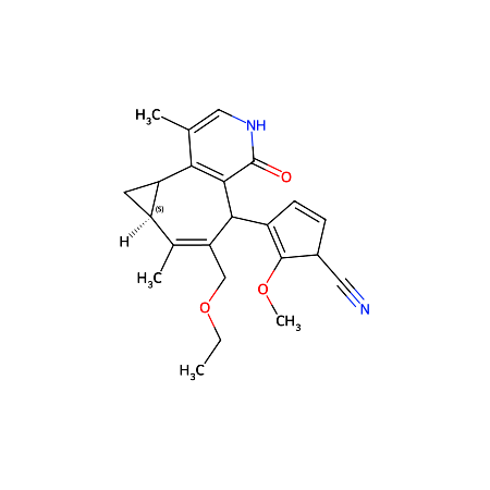 CCOCC1=C(C)[C@H]2CC2c2c(C)c[nH]c(=O)c2C1C1=C(OC)C(C#N)C=C1